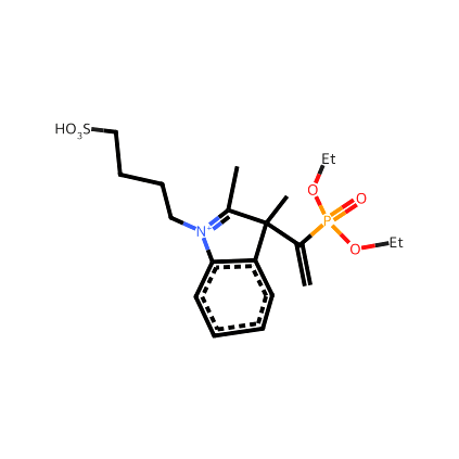 C=C(C1(C)C(C)=[N+](CCCCS(=O)(=O)O)c2ccccc21)P(=O)(OCC)OCC